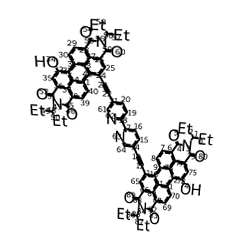 CCC(CC)N1C(=O)c2ccc3c4c(C#Cc5ccc(-c6ccc(C#Cc7cc8c9c(ccc%10c%11c(O)cc%12c%13c(ccc(c7c9%10)c%13%11)C(=O)N(C(CC)CC)C%12=O)C(=O)N(C(CC)CC)C8=O)cn6)nc5)cc5c6c(ccc(c7c(O)cc(c2c37)C1=O)c64)C(=O)N(C(CC)CC)C5=O